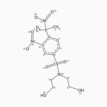 CC(C)(c1ccc(S(=O)(=O)N(CCO)CCO)cc1[N+](=O)[O-])[N+](=O)[O-]